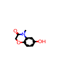 CN1C(=O)COc2ccc(O)cc21